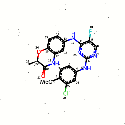 COc1ccc(Nc2ncc(F)c(Nc3ccc4c(c3)NC(=O)[C@@H](C)O4)n2)cc1Cl